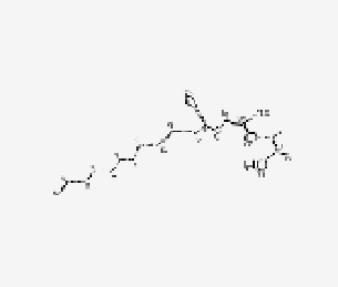 CCCCCCCCCCCC(=O)OCC(C)OCC(C)O